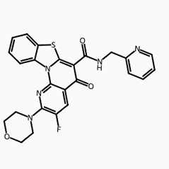 O=C(NCc1ccccn1)c1c(=O)c2cc(F)c(N3CCOCC3)nc2n2c1sc1ccccc12